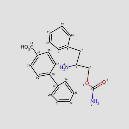 NC(=O)OCC(N)Cc1ccccc1.O=C(O)c1ccc(-c2ccccc2)cc1